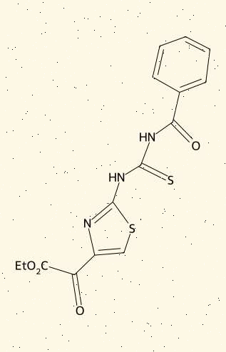 CCOC(=O)C(=O)c1csc(NC(=S)NC(=O)c2ccccc2)n1